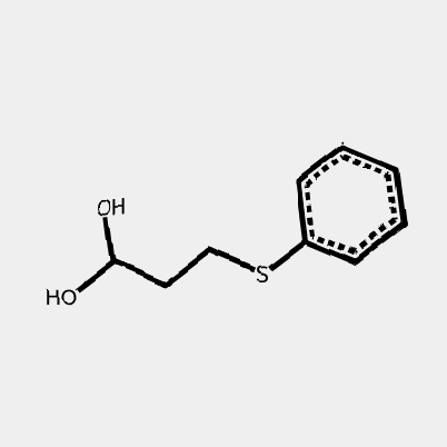 OC(O)CCSc1c[c]ccc1